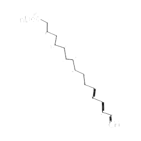 [CH]=CC=CC=CCCCCCCCCCCCCCCCCCCCC